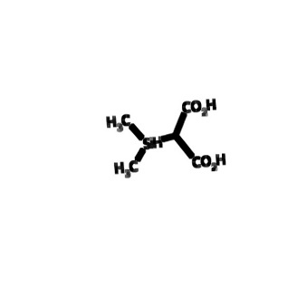 C[SiH](C)C(C(=O)O)C(=O)O